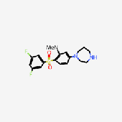 CNc1cc(N2CCCNCC2)ccc1S(=O)(=O)c1cc(F)cc(F)c1